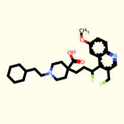 COc1ccc2ncc(CF)c(C(F)CCC3(C(=O)O)CCN(CCC4CCCCC4)CC3)c2c1